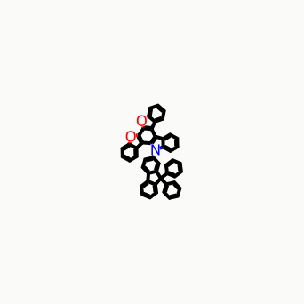 c1ccc(C2(c3ccccc3)c3ccccc3-c3ccc(-n4c5ccccc5c5c6c7ccccc7oc6c6oc7ccccc7c6c54)cc32)cc1